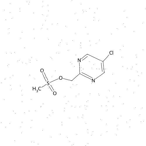 CS(=O)(=O)OCc1ncc(Cl)cn1